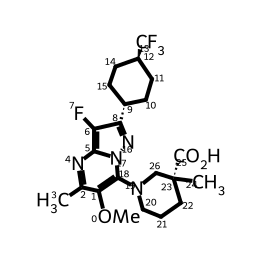 COc1c(C)nc2c(F)c([C@H]3CC[C@H](C(F)(F)F)CC3)nn2c1N1CCC[C@@](C)(C(=O)O)C1